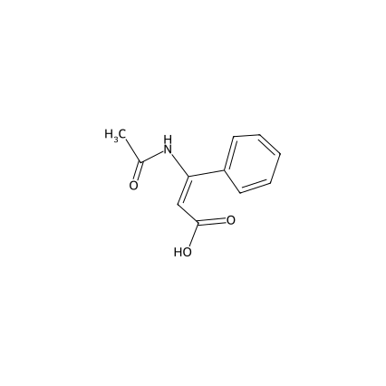 CC(=O)N/C(=C/C(=O)O)c1ccccc1